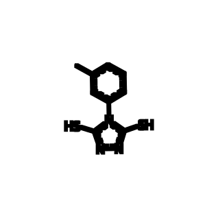 Cc1cccc(-n2c(S)nnc2S)c1